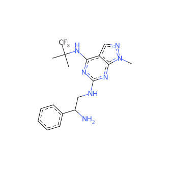 Cn1ncc2c(NC(C)(C)C(F)(F)F)nc(NCC(N)c3ccccc3)nc21